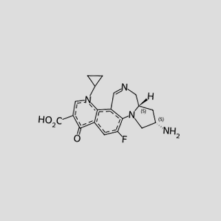 N[C@H]1C[C@H]2CN=Cc3c(c(F)cc4c(=O)c(C(=O)O)cn(C5CC5)c34)N2C1